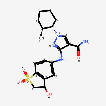 N#C[C@H]1CCCC[C@@H]1n1cc(C(N)=O)c(Nc2ccc3c(c2)C(O)CS3(=O)=O)n1